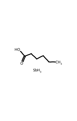 CCCCCC(=O)O.[SbH3]